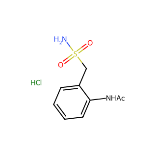 CC(=O)Nc1ccccc1CS(N)(=O)=O.Cl